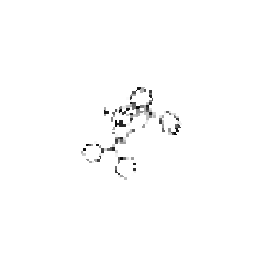 CN1C[C@H](P(C2CCCCC2)C2CCCCC2)C[C@]1(CP(c1ccccc1)c1ccccc1)C(N)=O